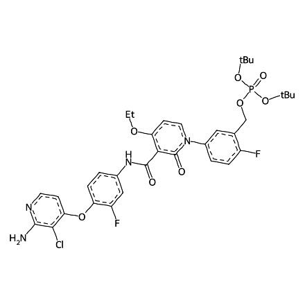 CCOc1ccn(-c2ccc(F)c(COP(=O)(OC(C)(C)C)OC(C)(C)C)c2)c(=O)c1C(=O)Nc1ccc(Oc2ccnc(N)c2Cl)c(F)c1